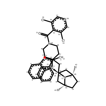 Cc1nc2ccccc2n1[C@H]1C[C@H]2CC[C@@H](C1)N2CCC1(c2ccccc2)CCN(C(=O)c2c(Cl)cncc2Cl)CC1